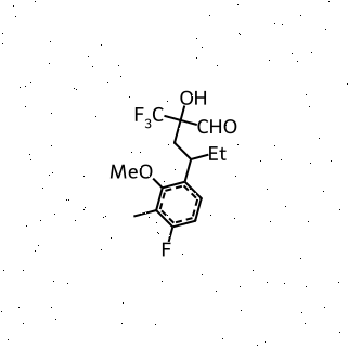 CCC(CC(O)(C=O)C(F)(F)F)c1ccc(F)c(C)c1OC